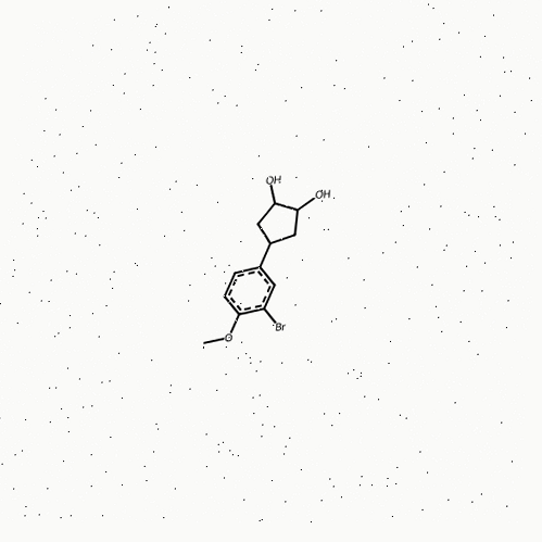 COc1ccc(C2CC(O)C(O)C2)cc1Br